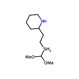 COC(OC)[SiH2]CCC1CCCCN1